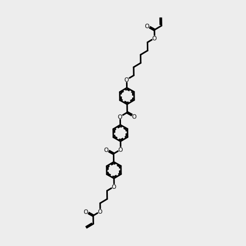 C=CC(=O)OCCCCCCOc1ccc(C(=O)Oc2ccc(OC(=O)c3ccc(OCCCOC(=O)C=C)cc3)cc2)cc1